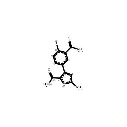 NC(=O)c1cc(-c2cc([N+](=O)[O-])oc2C(N)=O)ccc1F